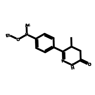 CCON(C(C)=O)c1ccc(C2=NNC(=O)CC2C)cc1